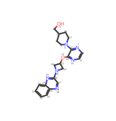 OCC1CCN(c2nccnc2OC2CN(c3cnc4ccccc4n3)C2)CC1